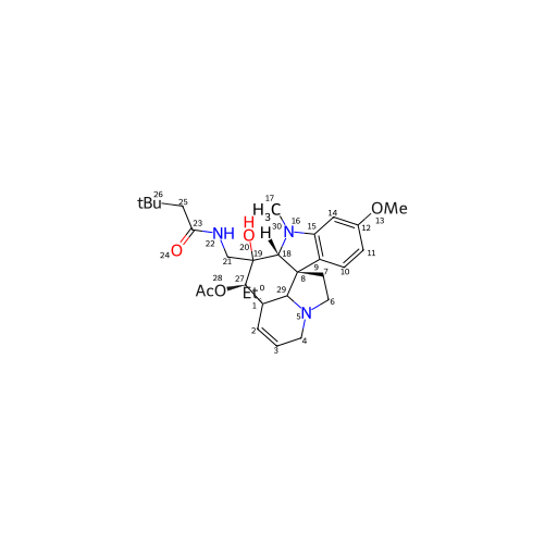 CC[C@]12C=CCN3CC[C@@]4(c5ccc(OC)cc5N(C)[C@H]4C(O)(CNC(=O)CC(C)(C)C)[C@@H]1OC(C)=O)C32